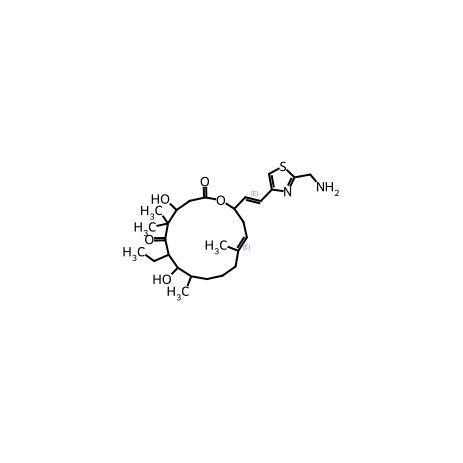 CCC1C(=O)C(C)(C)C(O)CC(=O)OC(/C=C/c2csc(CN)n2)C/C=C(\C)CCCC(C)C1O